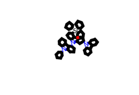 c1ccc(-n2c3ccccc3c3c(-n4c5cc(-n6c7ccccc7c7ccccc76)ccc5c5c([Si](c6ccccc6)(c6ccccc6)c6ccccc6)cccc54)cccc32)cc1